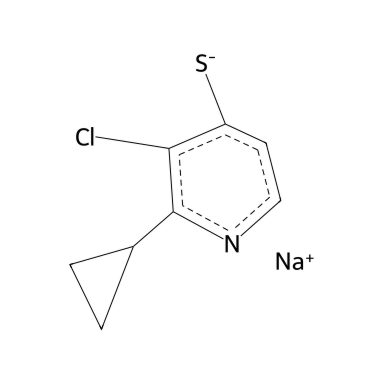 [Na+].[S-]c1ccnc(C2CC2)c1Cl